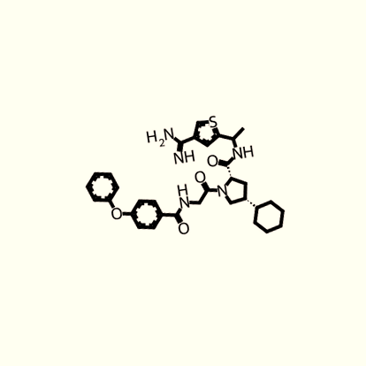 CC(NC(=O)[C@@H]1C[C@H](C2CCCCC2)CN1C(=O)CNC(=O)c1ccc(Oc2ccccc2)cc1)c1cc(C(=N)N)cs1